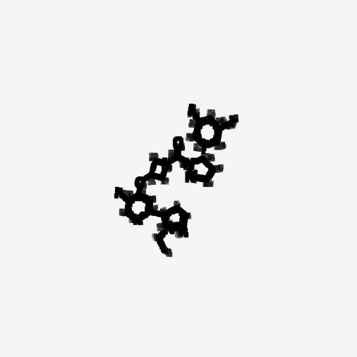 CCn1nccc1-c1cc(OC2CN(C(=O)N3N=CC[C@H]3c3cc(F)cc(F)c3)C2)c(F)cn1